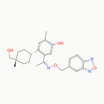 CC(=NOCc1ccc2nonc2c1)c1cc(O)c(C)cc1[C@H]1CC[C@@](C)(CO)CC1